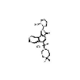 CCC(C)(c1cc2c(c3ncccc13)CN(C1CCCCC1O)C2=O)N1CCC(F)(F)CC1